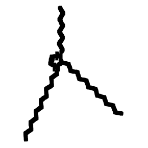 CCCCCCCCCCCCCC1N(CCCCCCCC)C=CN1CCCCCCCCCCCCC